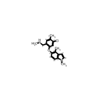 CNCc1cc(C)c(Cl)cc1Oc1ccc2c(ccn2C)c1C